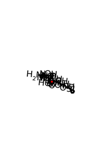 CC(C)(COP(=O)(O)OP(=O)(O)OC[C@H]1O[C@@H](n2cnc3c(N)ncnc32)[C@H](O)[C@@H]1OP(=O)(O)O)C(O)C(=O)NCCC(=O)NCCSC(=O)c1ccccc1